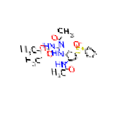 CCC(=O)N=C(NC(=O)OC(C)CC)Nc1cc([S+]([O-])c2ccccc2)ccc1NC(C)=O